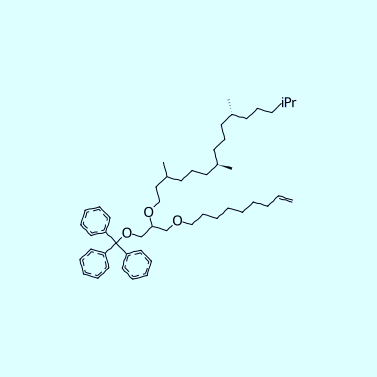 C=CCCCCCCCOCC(COC(c1ccccc1)(c1ccccc1)c1ccccc1)OCCC(C)CCC[C@H](C)CCC[C@H](C)CCCC(C)C